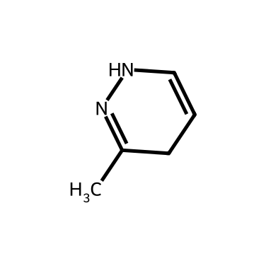 CC1=NNC=CC1